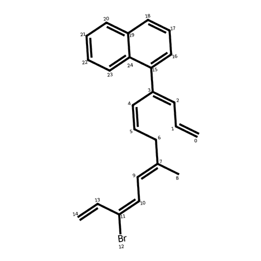 C=C/C=C(\C=C/C/C(C)=C/C=C(/Br)C=C)c1cccc2ccccc12